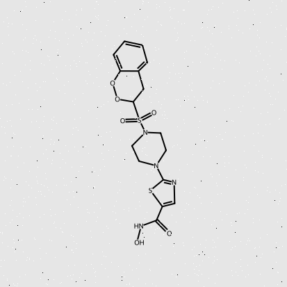 O=C(NO)c1cnc(N2CCN(S(=O)(=O)C3Cc4ccccc4OO3)CC2)s1